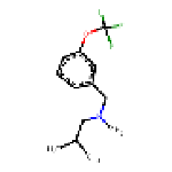 CC(C)CN(C)Cc1cccc(OC(F)(F)F)c1